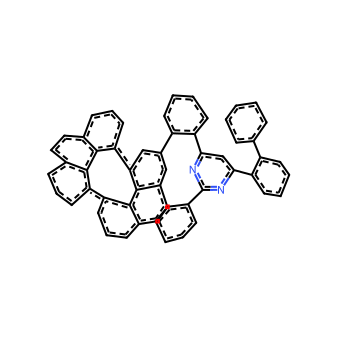 c1ccc(-c2nc(-c3ccccc3-c3ccccc3)cc(-c3ccccc3-c3cc4ccc5cccc6c7cccc8ccc9cccc(c(c3)c4c56)c9c87)n2)cc1